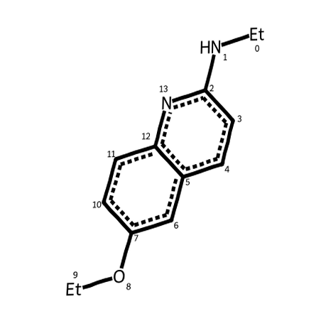 CCNc1ccc2cc(OCC)ccc2n1